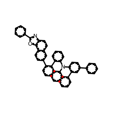 c1ccc(-c2ccc(N(c3ccccc3)c3ccccc3-c3ccccc3-c3ccc4c(ccc5nc(-c6ccccc6)oc54)c3)c(-c3ccccc3)c2)cc1